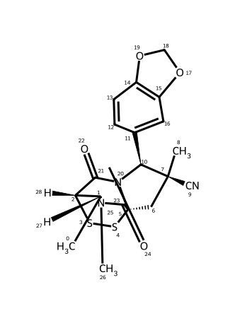 C[C@@H]1[C@@H]2SS[C@@]3(C[C@](C)(C#N)[C@H](c4ccc5c(c4)OCO5)N3C2=O)C(=O)N1C